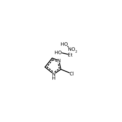 CCO.Clc1ncc[nH]1.O=[N+]([O-])O